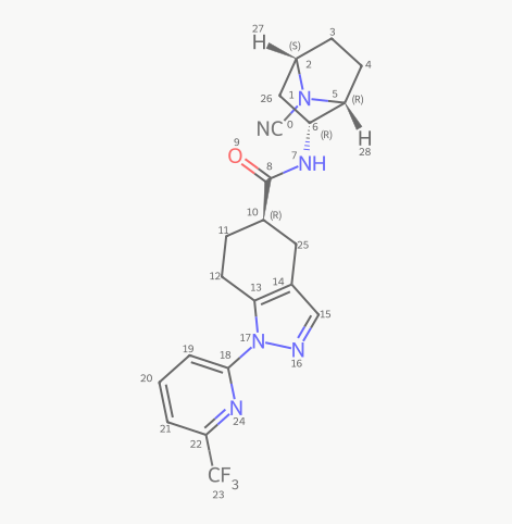 N#CN1[C@H]2CC[C@@H]1[C@H](NC(=O)[C@@H]1CCc3c(cnn3-c3cccc(C(F)(F)F)n3)C1)C2